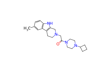 Cc1ccc2[nH]c3c(c2c1)CCN(CC(=O)N1CCN(C2CCC2)CC1)C3